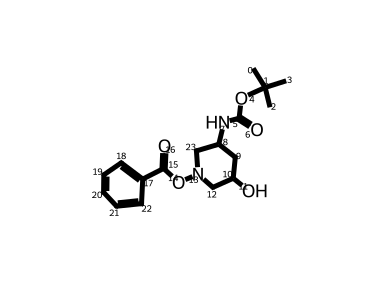 CC(C)(C)OC(=O)NC1CC(O)CN(OC(=O)c2ccccc2)C1